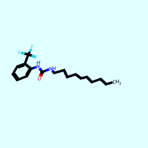 CCCCCCCCCCNC(=O)Nc1ccccc1C(F)(F)F